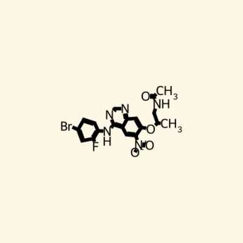 CC(=O)NCC(C)Oc1cc2ncnc(Nc3ccc(Br)cc3F)c2cc1[N+](=O)[O-]